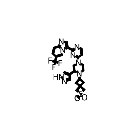 O=S1(=O)CC2(CC(N3CCN(c4ccnc(-c5cnc6ccc(C(F)(F)F)cn56)n4)CC3c3cn[nH]c3)C2)C1